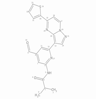 CC(C)C(=O)Nc1cc(C=O)cc(-c2cnn3ccc(-c4cccs4)nc23)n1